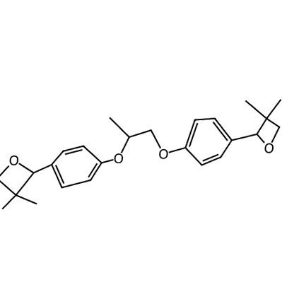 CC(COc1ccc(C2OCC2(C)C)cc1)Oc1ccc(C2OCC2(C)C)cc1